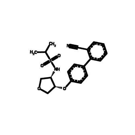 CC(C)S(=O)(=O)N[C@H]1COC[C@H]1Oc1ccc(-c2ccccc2C#N)cc1